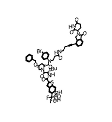 CC(C)(C)[C@H](NC(=O)c1cc2cc(C(F)(F)P(=O)(O)O)ccc2s1)C(=O)N1C[C@@H](OCc2ccccc2)C[C@H]1C(=O)N(CCC(=O)NCCC#Cc1cccc2c1CN(C1CCC(=O)NC1=O)C2=O)c1ccc(Br)cc1